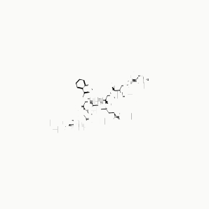 CN(C)CCCC[C@H](NC(=O)CNC(=O)[C@@H](N)CSSC(C)(C)C)C(=O)N[C@@H](Cc1c[nH]c2ccccc12)C(=O)N[C@@H](CSSC(C)(C)C)C(=O)O